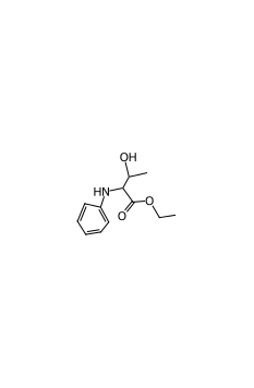 CCOC(=O)C(Nc1ccccc1)C(C)O